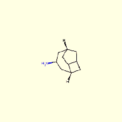 N[C@H]1C[C@@H]2CC3C[C@H](C1)C3C2